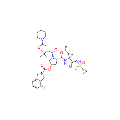 C=CC1CC1(NC(=O)[C@@H]1C[C@@H](OC(=O)N2Cc3cccc(F)c3C2)CN1C(=O)[C@@H](CC(=O)N1CCCCC1)C(C)(C)C)C(=O)NS(=O)(=O)C1CC1